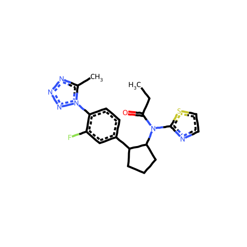 CCC(=O)N(c1nccs1)C1CCCC1c1ccc(-n2nnnc2C)c(F)c1